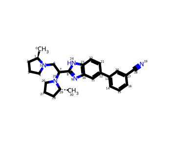 C[C@@H]1CCCN1CC(c1nc2cc(-c3cccc(C#N)c3)ccc2[nH]1)N1CCC[C@H]1C